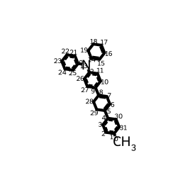 Cc1ccc(C2=CC=C(c3ccc(N(C4=CC=CCC4)c4ccccc4)cc3)CC2)cc1